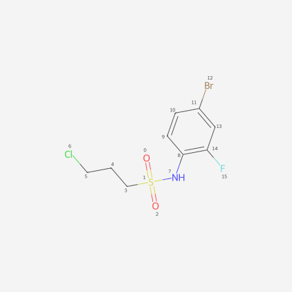 O=S(=O)(CCCCl)Nc1ccc(Br)cc1F